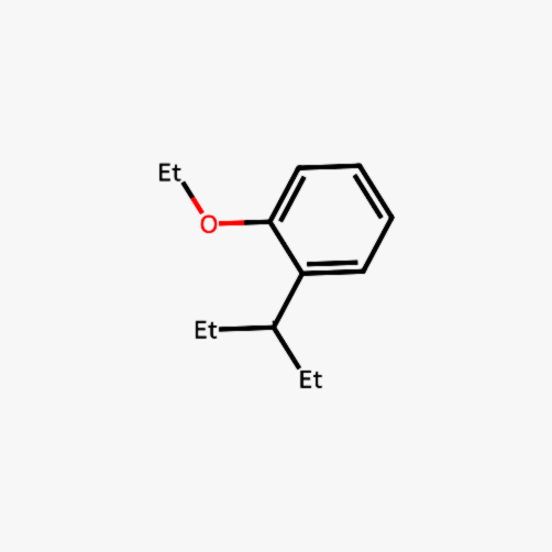 CCOc1ccccc1[C](CC)CC